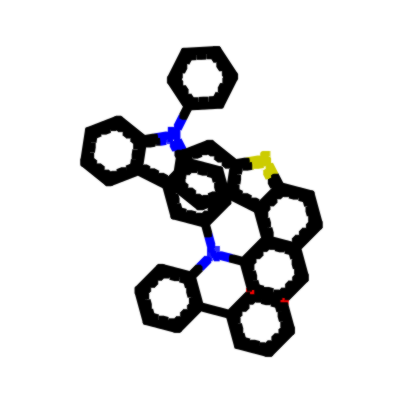 c1ccc(-c2ccccc2N(c2ccc3c(c2)c2ccccc2n3-c2ccccc2)c2cccc3ccc4sc5ccccc5c4c23)cc1